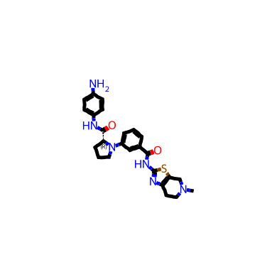 CN1CCc2nc(NC(=O)c3cccc(N4CCC[C@@H]4C(=O)Nc4ccc(N)cc4)c3)sc2C1